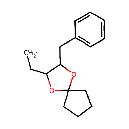 [CH2]CC1OC2(CCCC2)OC1Cc1ccccc1